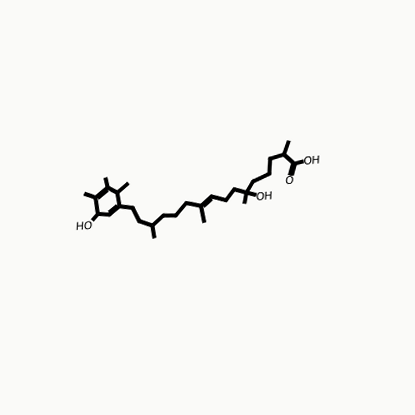 CC1=C(C)C(C)C(CCC(C)CCC/C(C)=C/CCC(C)(O)CCCC(C)C(=O)O)=CC1O